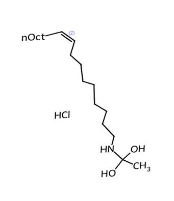 CCCCCCCC/C=C\CCCCCCCCNC(C)(O)O.Cl